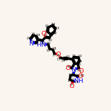 O=C1CCC(N2C(=O)c3cccc(C#CCOCCCCNC(c4cccnc4)c4cc5ccccc5o4)c3C2=O)C(=O)N1